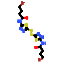 O=C(CCCBr)Nc1nnc(SSc2nnc(NC(=O)CCCBr)s2)s1